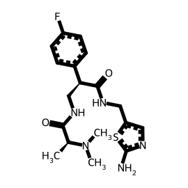 C[C@@H](C(=O)NC[C@H](C(=O)NCc1cnc(N)s1)c1ccc(F)cc1)N(C)C